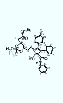 CC(C)c1c(C(=O)Nc2ccccc2)c(-c2ccccc2)c(-c2ccc(F)cc2)n1CCC1C[C@H](CC(=O)OC(C)(C)C)OC(C)(C)O1